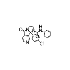 O=C(Nc1ccccc1)N1CCN2C(=O)c3ccncc3C12c1ccc(Cl)cc1